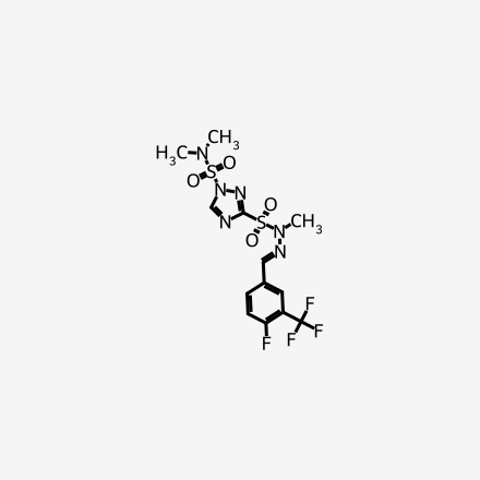 CN(/N=C/c1ccc(F)c(C(F)(F)F)c1)S(=O)(=O)c1ncn(S(=O)(=O)N(C)C)n1